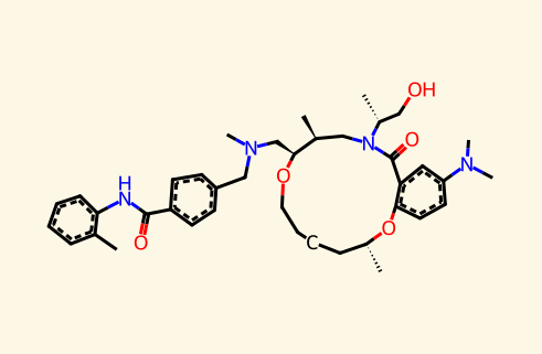 Cc1ccccc1NC(=O)c1ccc(CN(C)C[C@@H]2OCCCC[C@@H](C)Oc3ccc(N(C)C)cc3C(=O)N([C@H](C)CO)C[C@@H]2C)cc1